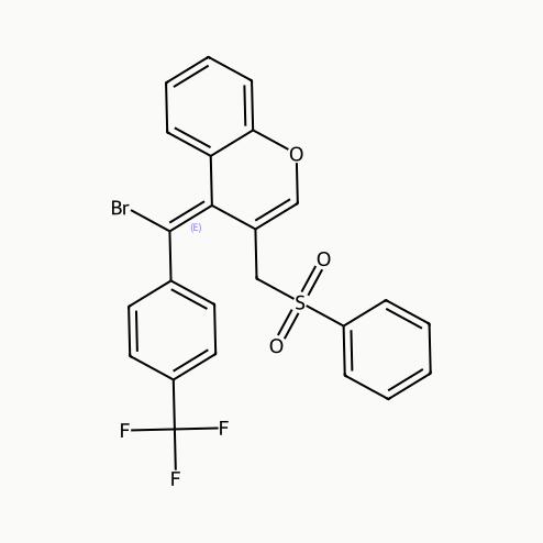 O=S(=O)(CC1=COc2ccccc2/C1=C(\Br)c1ccc(C(F)(F)F)cc1)c1ccccc1